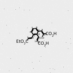 CCOC(=O)C=Cc1cccc(C=C(C)C(=O)O)c1C=CC(=O)O